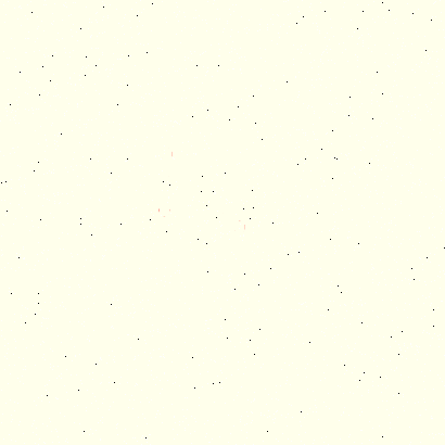 O=C1COc2cc(OCc3ccccc3)ccc21